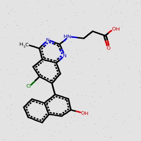 Cc1nc(NCCC(=O)O)nc2cc(-c3cc(O)cc4ccccc34)c(Cl)cc12